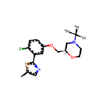 [2H]C([2H])([2H])N1CCO[C@@H](COc2ccc(F)c(-c3ncc(C)s3)c2)C1